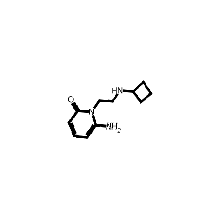 Nc1cccc(=O)n1CCNC1CCC1